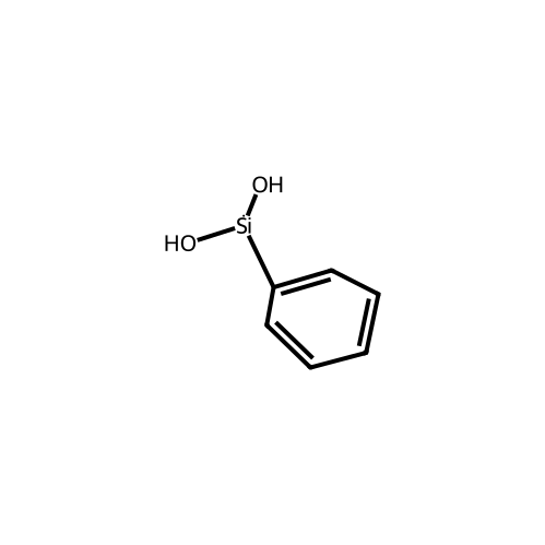 O[Si](O)c1ccccc1